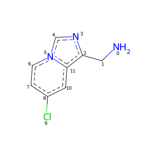 NCc1ncn2ccc(Cl)cc12